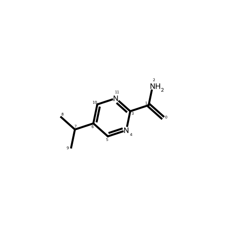 C=C(N)c1ncc(C(C)C)cn1